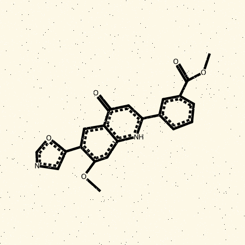 COC(=O)c1cccc(-c2cc(=O)c3cc(-c4cnco4)c(OC)cc3[nH]2)c1